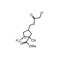 COC(=O)C1(C#N)CC(COC(=O)CCl)C[C@@H]1C